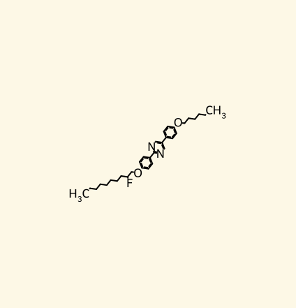 CCCCCCCCC(F)COc1ccc(-c2ncc(-c3ccc(OCCCCCC)cc3)cn2)cc1